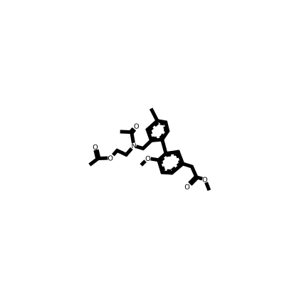 COC(=O)Cc1ccc(OC)c(-c2ccc(C)cc2CN(CCOC(C)=O)C(C)=O)c1